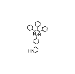 C1=CNCC(c2ccc(-c3nc(-c4ccccc4)c(-c4ccccc4)c(-c4ccccc4)n3)cc2)=C1